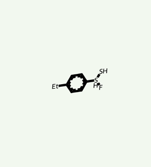 CCc1ccc([SH](F)S)cc1